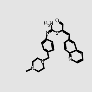 CN1CCN(Cc2ccc(/N=C(/N)S/C(C=O)=C\c3ccc4ncccc4c3)cc2)CC1